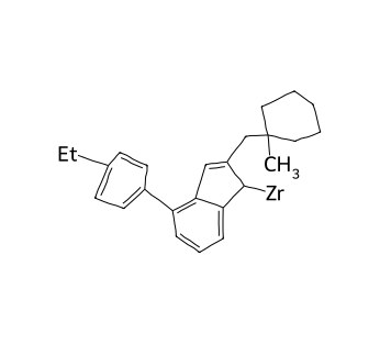 CCc1ccc(-c2cccc3c2C=C(CC2(C)CCCCC2)[CH]3[Zr])cc1